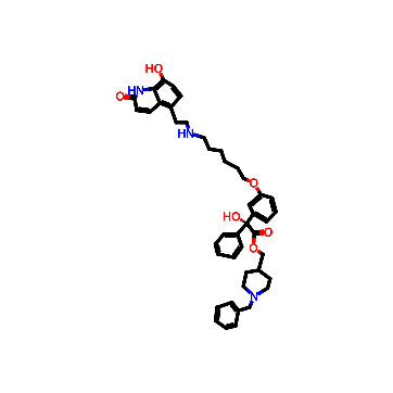 O=C(OCC1CCN(Cc2ccccc2)CC1)[C@](O)(c1ccccc1)c1cccc(OCCCCCCNCCc2ccc(O)c3[nH]c(=O)ccc23)c1